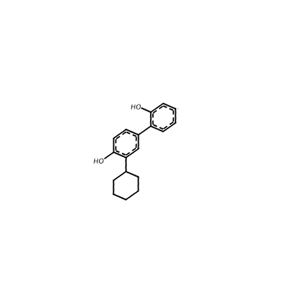 Oc1c[c]ccc1-c1ccc(O)c(C2CCCCC2)c1